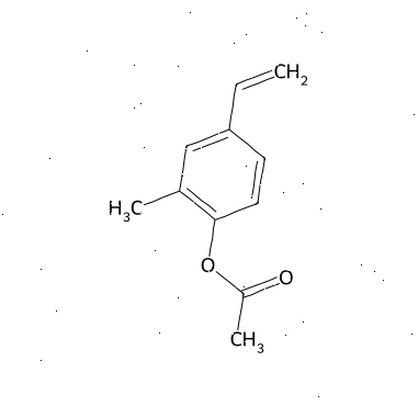 C=Cc1ccc(OC(C)=O)c(C)c1